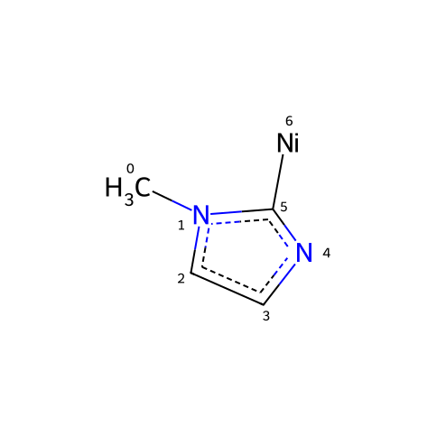 Cn1ccn[c]1[Ni]